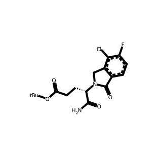 CC(C)(C)OC(=O)CC[C@@H](C(N)=O)N1Cc2c(ccc(F)c2Cl)C1=O